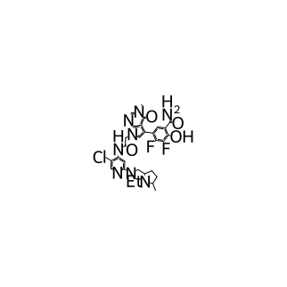 CCN(CC1CCC(C)N1C)c1cc(NC(=O)Cn2cc(-c3cc(C(N)=O)c(O)c(F)c3F)c3c(=O)n(C)cnc32)c(Cl)cn1